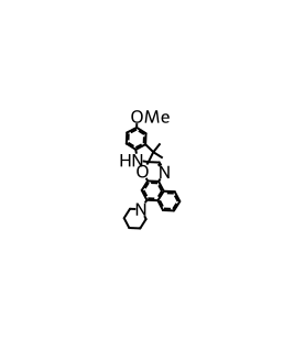 COc1ccc2c(c1)C(C)(C)C1(C=Nc3c(cc(N4CCCCC4)c4ccccc34)O1)N2